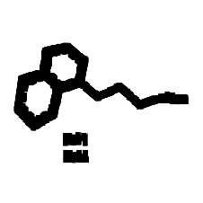 CCCCCCCCCCCCc1cccc2ccccc12.[NaH].[NaH]